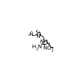 C=CCC(CSCc1csc(CN(C)C)n1)C(=C(N)N)[N+](=O)[O-]